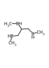 CBCC(BC)CBC